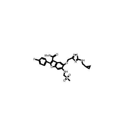 CNC(=O)c1c(-c2ccc(F)cc2)oc2cc(NCS(C)(=O)=O)c(OCc3nsc(NCC4CC4)n3)cc12